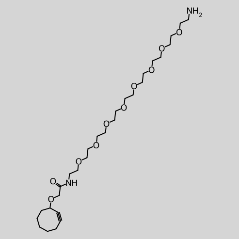 NCCOCCOCCOCCOCCOCCOCCOCCOCCNC(=O)COC1C#CCCCCC1